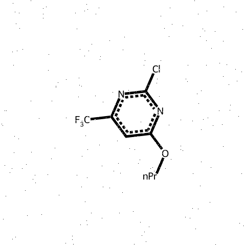 CCCOc1cc(C(F)(F)F)nc(Cl)n1